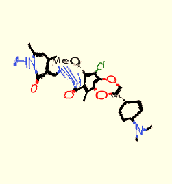 COc1c(Cl)c2c(c(C)c1C(=O)NCc1c(C)cc(C)[nH]c1=O)O[C@@H](C1CCC(N(C)C)CC1)CO2